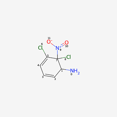 NC1C=CC=C(Cl)C1(Cl)[N+](=O)[O-]